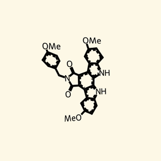 COc1ccc(CN2C(=O)c3c(c4c5cc(OC)ccc5[nH]c4c4[nH]c5ccc(OC)cc5c34)C2=O)cc1